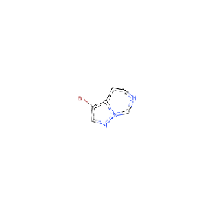 Brc1cnn2cnccc12